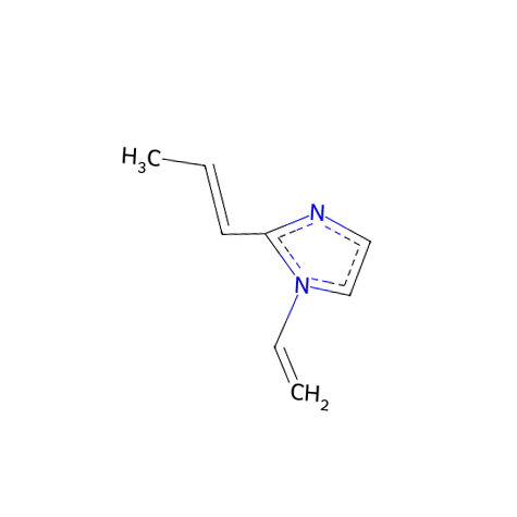 C=Cn1ccnc1C=CC